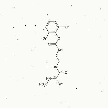 CC(C)c1cccc(C(C)C)c1OC(=O)NCCNC(=O)[C@@H](NC(=O)O)C(C)C